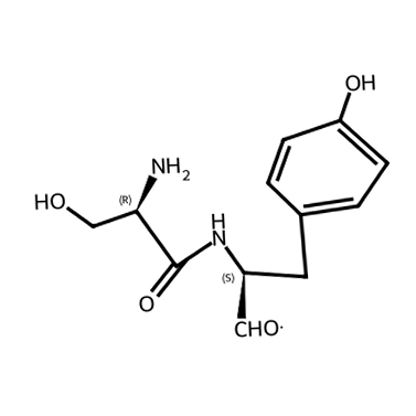 N[C@H](CO)C(=O)N[C@H]([C]=O)Cc1ccc(O)cc1